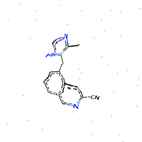 Cc1nc[nH]c1Cc1cccc2cnc(C#N)cc12